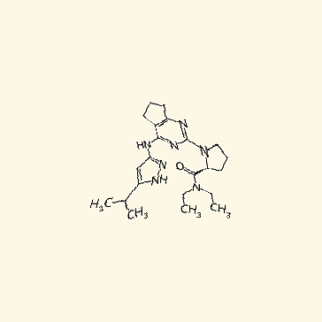 CCN(CC)C(=O)[C@@H]1CCCN1c1nc2c(c(Nc3cc(C(C)C)[nH]n3)n1)CCC2